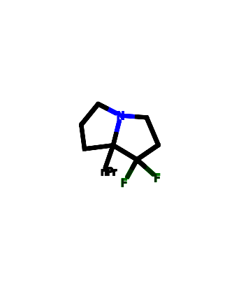 CCCC12CCCN1CCC2(F)F